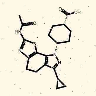 CC(=O)Nc1nc2c(s1)-c1c(c(C3CC3)nn1[C@H]1CC[C@@H](C(=O)O)CC1)CC2